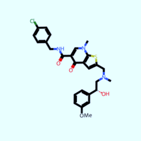 COc1cccc([C@@H](O)CN(C)Cc2cc3c(=O)c(C(=O)NCc4ccc(Cl)cc4)cn(C)c3s2)c1